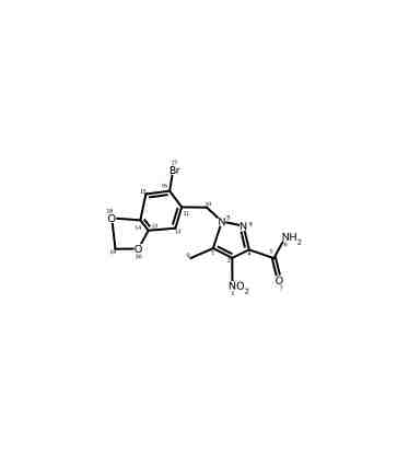 Cc1c([N+](=O)[O-])c(C(N)=O)nn1Cc1cc2c(cc1Br)OCO2